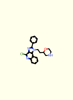 Clc1nc2ccccc2c2c1nc(-c1ccccc1)n2CCC1CNCCO1